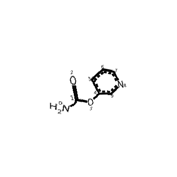 NC(=O)Oc1cccnc1